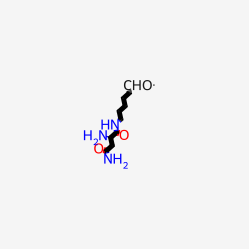 NC(=O)C[C@H](N)C(=O)NCCCCC[C]=O